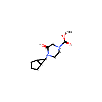 CC(C)(C)OC(=O)N1CCN(C2C3CCCC32)C(=O)C1